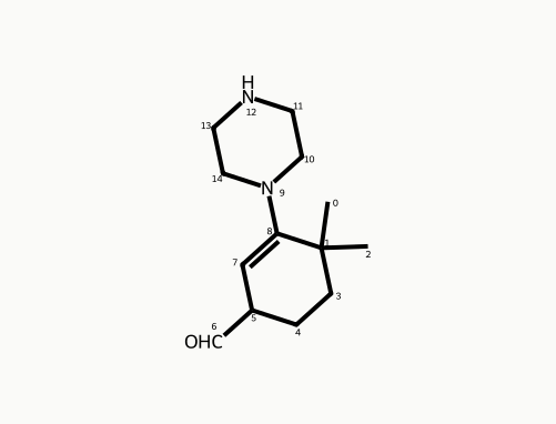 CC1(C)CCC(C=O)C=C1N1CCNCC1